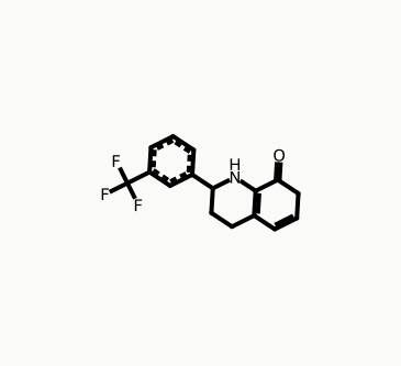 O=C1CC=CC2=C1NC(c1cccc(C(F)(F)F)c1)CC2